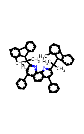 Cc1cccc2c1C(C(C)(C)c1cc(-c3ccccc3)c3ccc4c(-c5ccccc5)cc(C(C)(C)C5c6ccccc6-c6cccc(C)c65)nc4c3n1)c1ccccc1-2